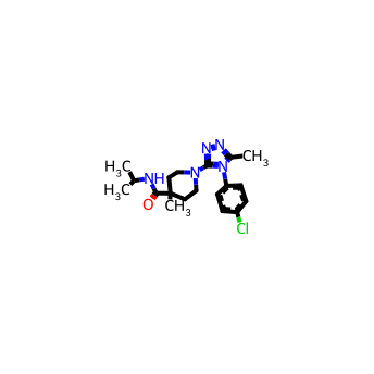 Cc1nnc(N2CCC(C)(C(=O)NC(C)C)CC2)n1-c1ccc(Cl)cc1